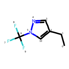 CCc1[c]nn(C(F)(F)F)[c]1